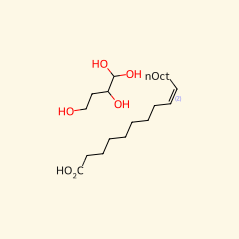 CCCCCCCC/C=C\CCCCCCCC(=O)O.OCCC(O)C(O)O